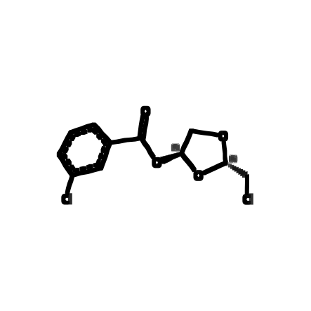 O=C(O[C@H]1CO[C@H](CCl)O1)c1cccc(Cl)c1